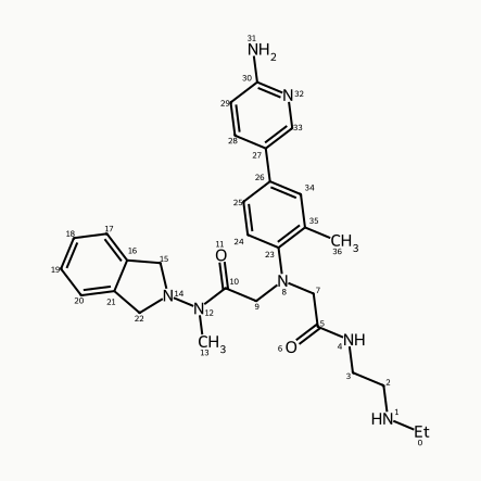 CCNCCNC(=O)CN(CC(=O)N(C)N1Cc2ccccc2C1)c1ccc(-c2ccc(N)nc2)cc1C